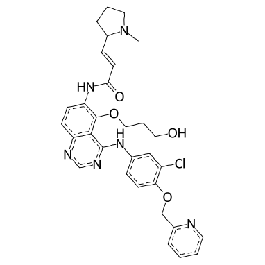 CN1CCCC1/C=C/C(=O)Nc1ccc2ncnc(Nc3ccc(OCc4ccccn4)c(Cl)c3)c2c1OCCCO